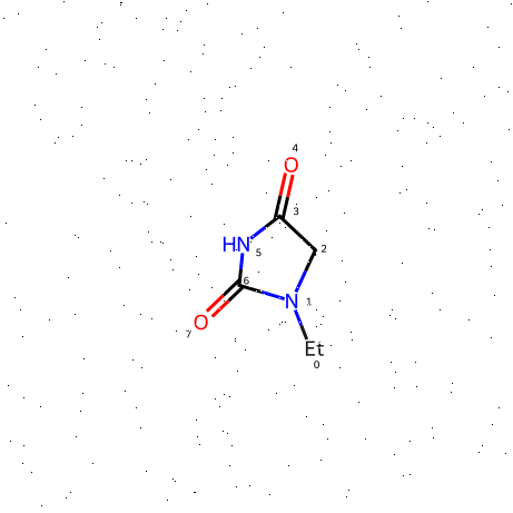 CCN1[CH]C(=O)NC1=O